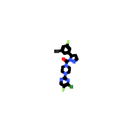 N#Cc1cc(F)cc(C2CC=NN2C(=O)N2CCN(c3ncc(F)c(Cl)n3)CC2)c1